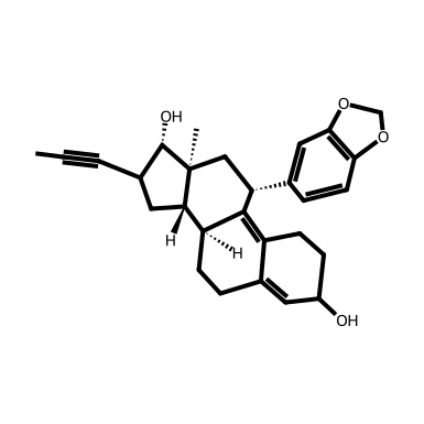 CC#CC1C[C@H]2[C@@H]3CCC4=CC(O)CCC4=C3[C@@H](c3ccc4c(c3)OCO4)C[C@]2(C)[C@H]1O